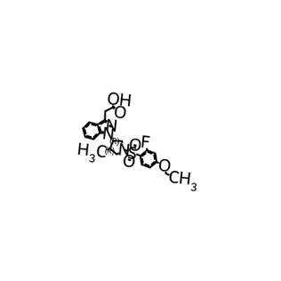 CCOc1ccc(S(=O)(=O)N2C[C@@H](C)[C@@H](n3nc(CC(=O)O)c4ccccc43)C2)c(F)c1